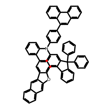 c1ccc(C2(c3ccccc3)c3ccccc3-c3ccc(N(c4ccc(-c5cc6ccccc6c6ccccc56)cc4)c4ccccc4-c4ccc5oc6cc7ccccc7cc6c5c4)cc32)cc1